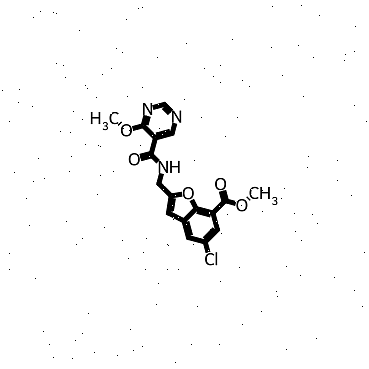 COC(=O)c1cc(Cl)cc2cc(CNC(=O)c3cncnc3OC)oc12